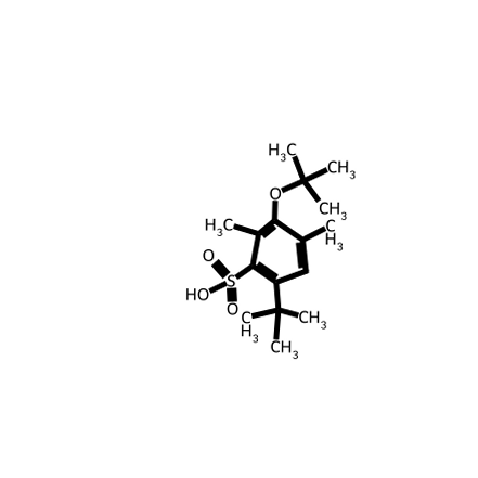 Cc1cc(C(C)(C)C)c(S(=O)(=O)O)c(C)c1OC(C)(C)C